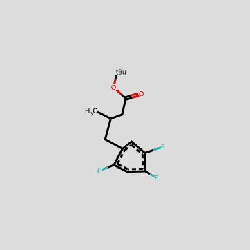 CC(CC(=O)OC(C)(C)C)Cc1cc(F)c(F)cc1F